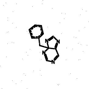 C1=NC=NC2(Cc3ccccc3)N=CN=C12